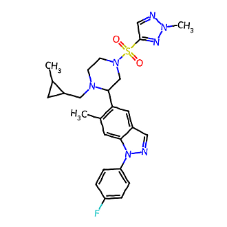 Cc1cc2c(cnn2-c2ccc(F)cc2)cc1C1CN(S(=O)(=O)c2cnn(C)n2)CCN1CC1CC1C